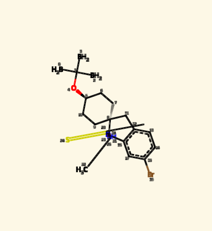 BC(B)(B)O[C@H]1CC[C@]2(CC1)Cc1ccc(Br)cc1C21N=C(C)C(=S)N1